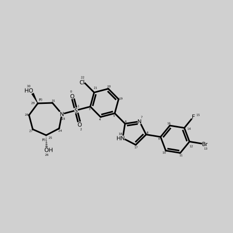 O=S(=O)(c1cc(-c2nc(-c3ccc(Br)c(F)c3)c[nH]2)ccc1Cl)N1C[C@H](O)CC[C@@H](O)C1